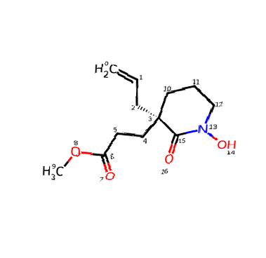 C=CC[C@]1(CCC(=O)OC)CCCN(O)C1=O